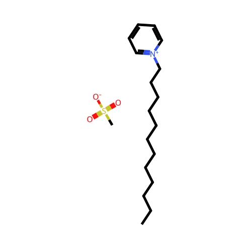 CCCCCCCCCCCC[n+]1ccccc1.CS(=O)(=O)[O-]